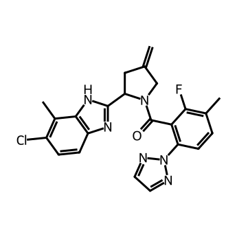 C=C1CC(c2nc3ccc(Cl)c(C)c3[nH]2)N(C(=O)c2c(-n3nccn3)ccc(C)c2F)C1